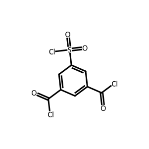 O=C(Cl)c1cc(C(=O)Cl)cc(S(=O)(=O)Cl)c1